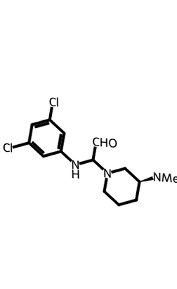 CN[C@H]1CCCN(C(C=O)Nc2cc(Cl)cc(Cl)c2)C1